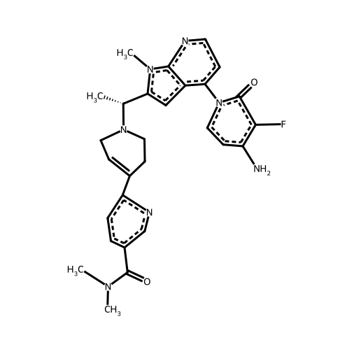 C[C@H](c1cc2c(-n3ccc(N)c(F)c3=O)ccnc2n1C)N1CC=C(c2ccc(C(=O)N(C)C)cn2)CC1